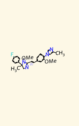 COc1cc(/C=C/C2=NCC(C)(c3ccc(F)cc3)N2OC)ccc1-n1cnc(C)c1